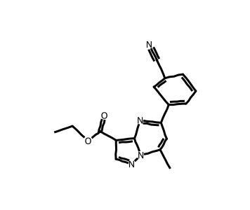 CCOC(=O)c1cnn2c(C)cc(-c3cccc(C#N)c3)nc12